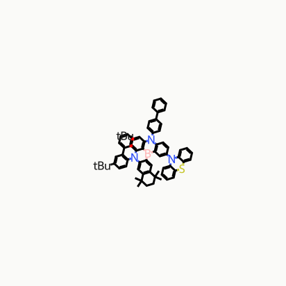 CC(C)(C)c1ccc(N2c3cc4c(cc3B3c5cc(N6c7ccccc7Sc7ccccc76)ccc5N(c5ccc(-c6ccccc6)cc5)c5cc(C(C)(C)C)cc2c53)C(C)(C)CCC4(C)C)c(-c2ccccc2)c1